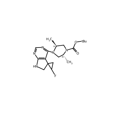 C[C@@H]1CN(c2ncnc3c2C2(CN3)CC2F)[C@@H](C)CN1C(=O)OC(C)(C)C